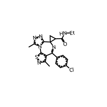 CCNC(=O)C1CC12N=C(c1ccc(Cl)cc1)c1c(C)nsc1-n1c(C)nnc12